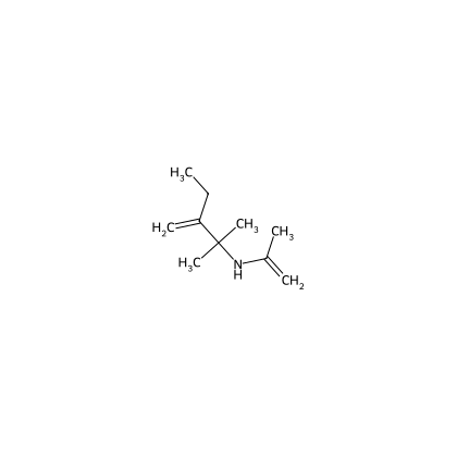 C=C(C)NC(C)(C)C(=C)CC